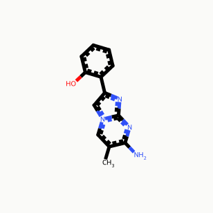 Cc1cn2cc(-c3ccccc3O)nc2nc1N